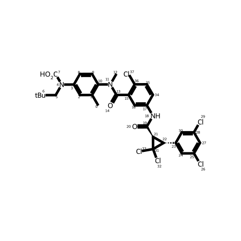 Cc1cc(N(CC(C)(C)C)C(=O)O)ccc1N(C)C(=O)c1cc(NC(=O)[C@H]2[C@H](c3cc(Cl)cc(Cl)c3)C2(Cl)Cl)ccc1Cl